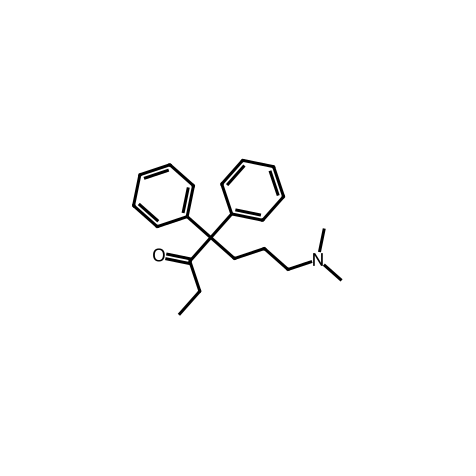 CCC(=O)C(CCCN(C)C)(c1ccccc1)c1ccccc1